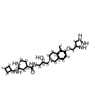 Cc1c(OCC2CNNN2)ccc2c1CCN(C[C@@H](O)CNC(=O)C1CCNC(NC3CCC3)C1)C2